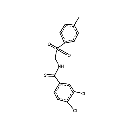 Cc1ccc(S(=O)(=O)CNC(=S)c2ccc(Cl)c(Cl)c2)cc1